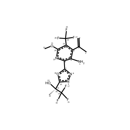 C=C(C)c1c(N)c(-c2nnc([C@](C)(O)C(F)(F)F)o2)nc(OC)c1C(F)(F)F